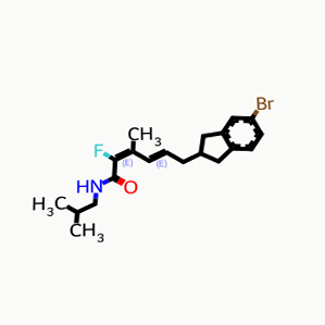 CC(/C=C/CC1Cc2ccc(Br)cc2C1)=C(\F)C(=O)NCC(C)C